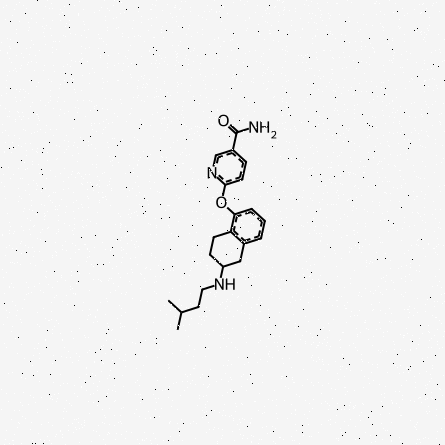 CC(C)CCNC1CCc2c(cccc2Oc2ccc(C(N)=O)cn2)C1